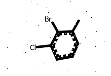 Cc1[c]ccc(Cl)c1Br